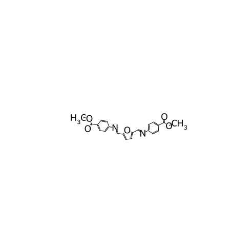 COC(=O)c1ccc(N=Cc2ccc(C=Nc3ccc(C(=O)OC)cc3)o2)cc1